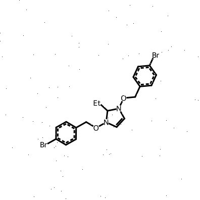 CCC1N(OCc2ccc(Br)cc2)C=CN1OCc1ccc(Br)cc1